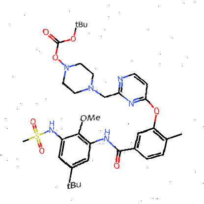 COc1c(NC(=O)c2ccc(C)c(Oc3ccnc(CN4CCN(OC(=O)OC(C)(C)C)CC4)n3)c2)cc(C(C)(C)C)cc1NS(C)(=O)=O